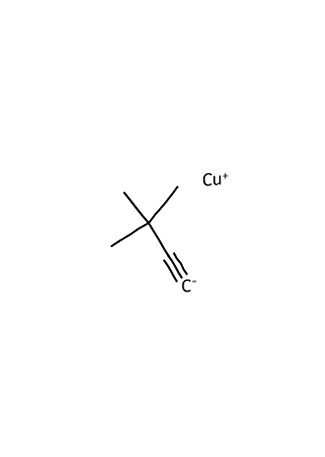 [C-]#CC(C)(C)C.[Cu+]